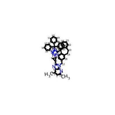 Cc1cc(C)c2nc(C3CC3)n(Cc3ccc4c(c3)CCc3ccccc3C4(C)c3nnnn3C(c3ccccc3)(c3ccccc3)c3ccccc3)c2n1